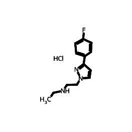 CCNCCn1ccc(-c2ccc(F)cc2)n1.Cl